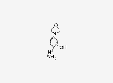 NN=Cc1ccc(N2CCOCC2)cc1O